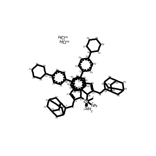 CC[CH2][Zr]([CH3])(=[SiH2])([CH]1C(CC2C3CC4CC(C3)CC2C4)=Cc2c(-c3ccc(C4CCCCC4)cc3)cccc21)[CH]1C(CC2C3CC4CC(C3)CC2C4)=Cc2c(-c3ccc(C4CCCCC4)cc3)cccc21.Cl.Cl